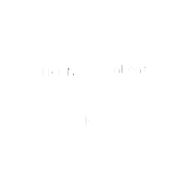 CCCCCCc1ccccc1[N-]O.[K+]